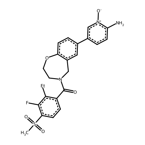 CCc1c(C(=O)N2CCOc3ccc(-c4ccc(N)[n+]([O-])c4)cc3C2)ccc(S(C)(=O)=O)c1F